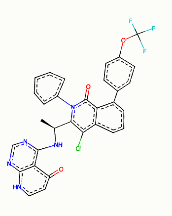 C[C@H](Nc1ncnc2[nH]ccc(=O)c12)c1c(Cl)c2cccc(-c3ccc(OC(F)(F)F)cc3)c2c(=O)n1-c1ccccc1